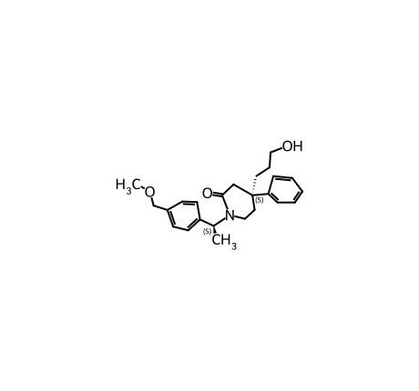 COCc1ccc([C@H](C)N2CC[C@](CCCO)(c3ccccc3)CC2=O)cc1